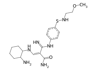 COCCNSc1ccc(NC(=N)/C(=C\NC2CCCCC2N)C(N)=O)cc1